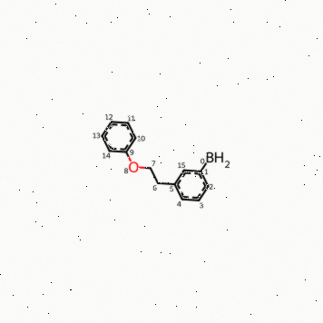 Bc1cccc(CCOc2ccccc2)c1